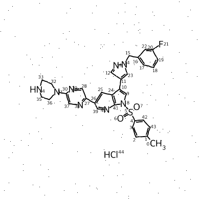 Cc1ccc(S(=O)(=O)n2cc(-c3cnn(Cc4cccc(F)c4)c3)c3cc(-c4cnc(N5CCNCC5)cn4)cnc32)cc1.Cl